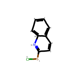 ClSc1ccc2ccccc2n1